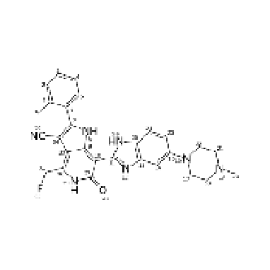 Cc1ccccc1-c1[nH]c2c(-c3nc4cc(N5CCN(C)CC5)ccc4[nH]3)c(=O)[nH]c(CF)c2c1C#N